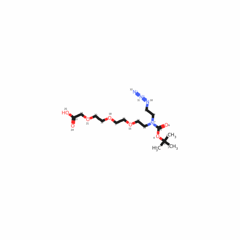 CC(C)(C)OC(=O)N(CCN=[N+]=[N-])CCOCCOCCOCC(=O)O